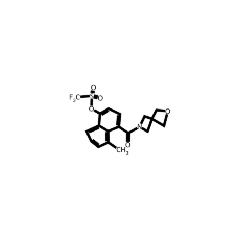 Cc1cccc2c(OS(=O)(=O)C(F)(F)F)ccc(C(=O)N3CC4(COC4)C3)c12